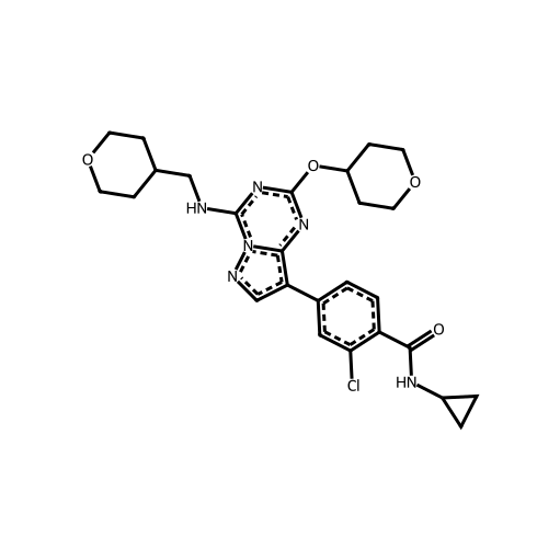 O=C(NC1CC1)c1ccc(-c2cnn3c(NCC4CCOCC4)nc(OC4CCOCC4)nc23)cc1Cl